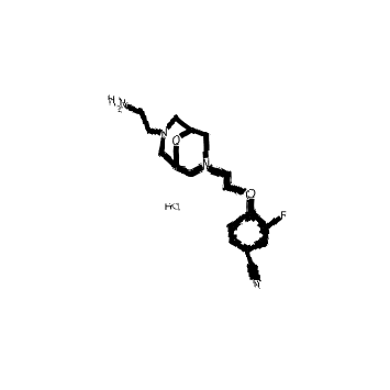 Cl.N#Cc1ccc(OCCN2CC3CN(CCN)CC(C2)O3)c(F)c1